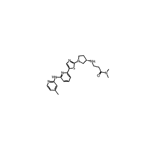 Cc1ccnc(Nc2cccc(-c3cnc(N4CC[C@@H](NCCC(=O)N(C)C)C4)s3)n2)c1